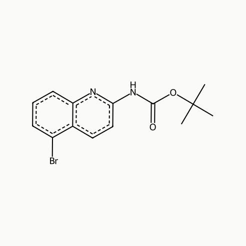 CC(C)(C)OC(=O)Nc1ccc2c(Br)cccc2n1